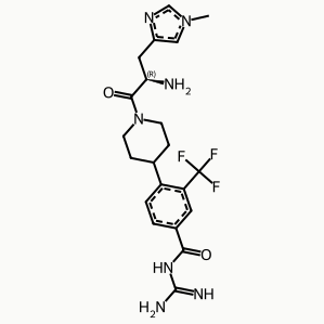 Cn1cnc(C[C@@H](N)C(=O)N2CCC(c3ccc(C(=O)NC(=N)N)cc3C(F)(F)F)CC2)c1